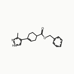 Cc1n[nH]cc1C1=CCC(C(=O)OCc2ccccc2)CC1